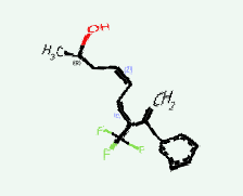 C=C(/C(=C\C=C/C[C@@H](C)O)C(F)(F)F)c1ccccc1